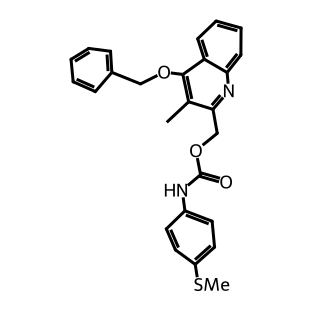 CSc1ccc(NC(=O)OCc2nc3ccccc3c(OCc3ccccc3)c2C)cc1